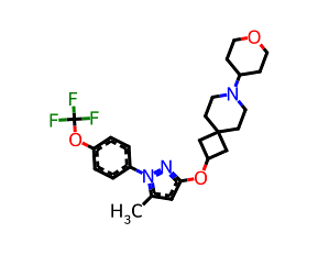 Cc1cc(OC2CC3(CCN(C4CCOCC4)CC3)C2)nn1-c1ccc(OC(F)(F)F)cc1